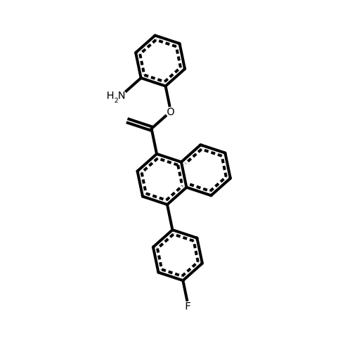 C=C(Oc1ccccc1N)c1ccc(-c2ccc(F)cc2)c2ccccc12